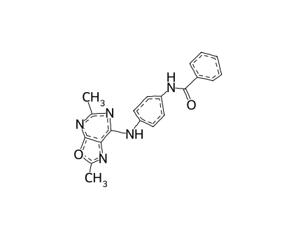 Cc1nc(Nc2ccc(NC(=O)c3ccccc3)cc2)c2nc(C)oc2n1